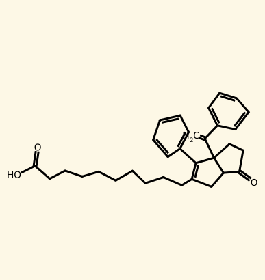 C=C(c1ccccc1)C12CCC(=O)C1CC(CCCCCCCCCC(=O)O)=C2c1ccccc1